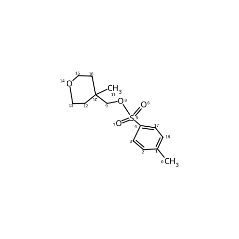 Cc1ccc(S(=O)(=O)OCC2(C)CCOCC2)cc1